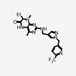 CCC1C(=O)Nc2c(C)nc(NCc3cnn(Cc4ccc(C(F)(F)F)nc4)c3)nc2N1C